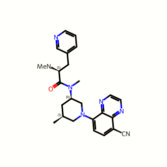 CN[C@@H](Cc1cccnc1)C(=O)N(C)[C@@H]1C[C@H](C)CN(c2ccc(C#N)c3nccnc23)C1